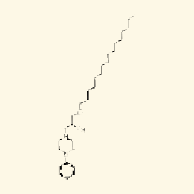 CCCCCCCCCCCCCCCCOCC(O)CN1CCN(c2ccccc2)CC1